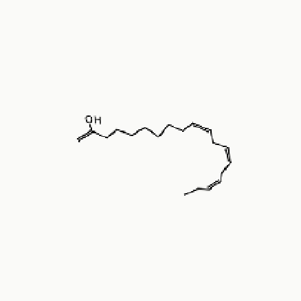 C=C(O)CCCCCCC/C=C\C/C=C\C/C=C\CC